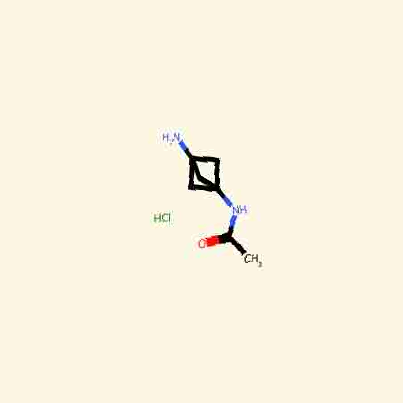 CC(=O)NC12CC(N)(C1)C2.Cl